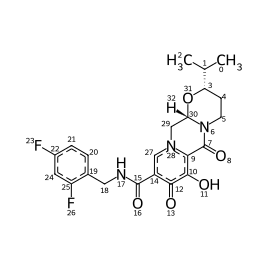 CC(C)[C@@H]1CCN2C(=O)c3c(O)c(=O)c(C(=O)NCc4ccc(F)cc4F)cn3C[C@@H]2O1